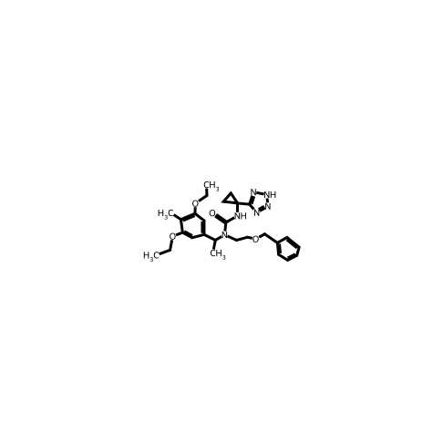 CCOc1cc(C(C)N(CCOCc2ccccc2)C(=O)NC2(c3nn[nH]n3)CC2)cc(OCC)c1C